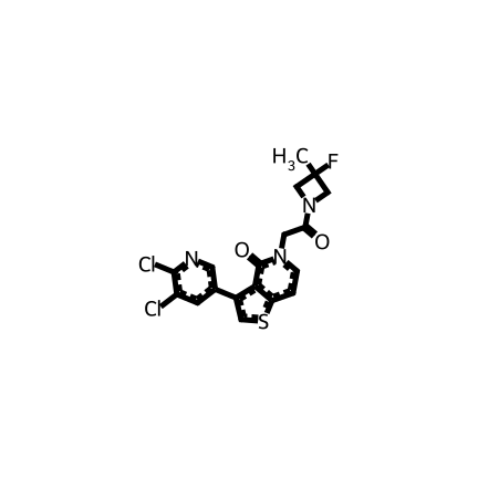 CC1(F)CN(C(=O)Cn2ccc3scc(-c4cnc(Cl)c(Cl)c4)c3c2=O)C1